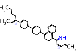 C=C/C=C\C(=N)C1=c2ccccc2=C(C2CC=C(C3=CC=C(/C(=C/C)CCCC)CC3)CC2)CC1